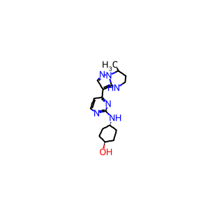 CC1CCNc2c(-c3ccnc(N[C@H]4CC[C@H](O)CC4)n3)cnn21